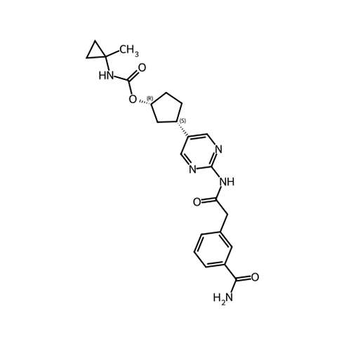 CC1(NC(=O)O[C@@H]2CC[C@H](c3cnc(NC(=O)Cc4cccc(C(N)=O)c4)nc3)C2)CC1